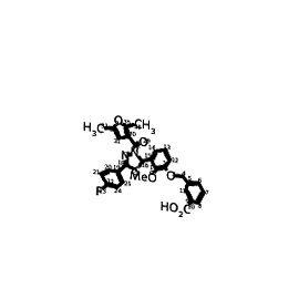 COc1c(OCc2cccc(C(=O)O)c2)cccc1C1SC(c2ccc(F)cc2)=NN1C(=O)c1cc(C)oc1C